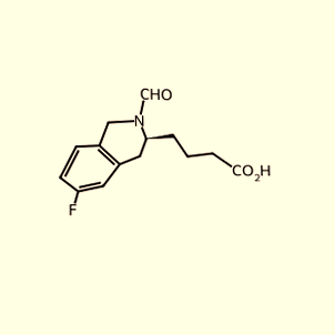 O=CN1Cc2ccc(F)cc2C[C@@H]1CCCC(=O)O